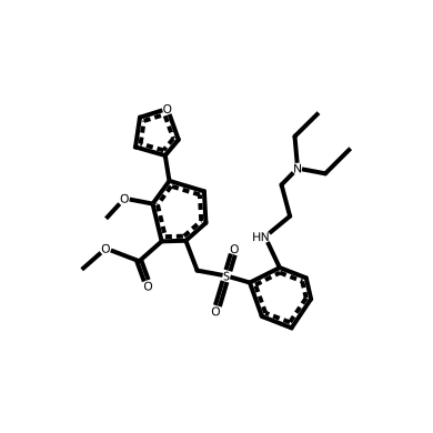 CCN(CC)CCNc1ccccc1S(=O)(=O)Cc1ccc(-c2ccoc2)c(OC)c1C(=O)OC